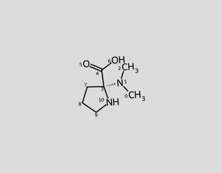 CN(C)[C@@]1(C(=O)O)CCCN1